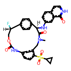 CN1Cc2cc(ccc2S(=O)(=O)C2CC2)NC(=O)OC[C@H](F)c2ccc(cc2)[C@@H](Nc2ccc3cc[nH]c(=O)c3c2)C1=O